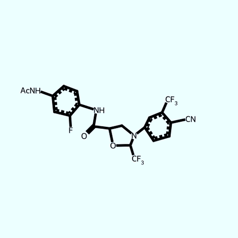 CC(=O)Nc1ccc(NC(=O)C2CN(c3ccc(C#N)c(C(F)(F)F)c3)C(C(F)(F)F)O2)c(F)c1